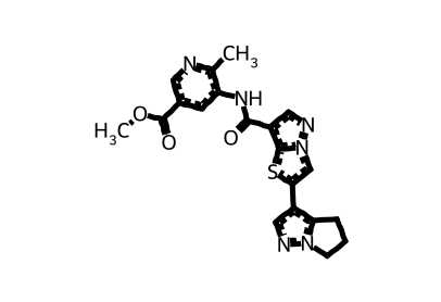 COC(=O)c1cnc(C)c(NC(=O)c2cnn3cc(-c4cnn5c4CCC5)sc23)c1